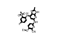 CCOc1ccc(Nc2cc(Nc3ccc(F)cc3S(C)(=O)=O)c3nc(C)[nH]c3n2)nc1C#N